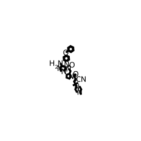 CN1CCN(C(C)(C)C=C(C#N)C(=O)N2CCCC2Cn2c(=O)n(-c3ccc(Oc4ccccc4)cc3)c3c(N)ncnc32)CC1